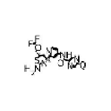 COc1cnc(C(=O)Nc2ccnc([C@]3(C)C[C@@H](COC(F)F)SC(N)=N3)c2)cn1